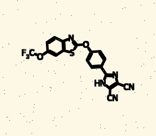 N#Cc1nc(-c2ccc(Oc3nc4ccc(OC(F)(F)F)cc4s3)cc2)[nH]c1C#N